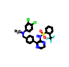 CN(Cc1ccc(-c2nccnc2NS(=O)(=O)c2ccccc2C(F)(F)F)cc1)c1ccc(Cl)c(Cl)c1